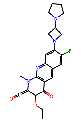 CCOC1C(=O)c2cc3cc(F)c(N4CC(N5CCCC5)C4)cc3nc2N(C)C1=C=O